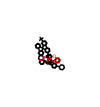 CC(C)(C)c1ccc2c(c1)C1(c3ccccc3-c3ccc(N(c4ccc5c(c4)C4(c6ccccc6O5)c5cc(C6CCCCC6)ccc5-c5ccc(C6CCCCC6)cc54)c4ccccc4-c4ccc(-c5ccccc5)cc4)cc31)c1cc(C(C)(C)C)ccc1-2